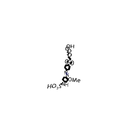 COc1cc(NCS(=O)(=O)O)ccc1/N=N/c1ccc(S(=O)(=O)CCOSOOO)cc1